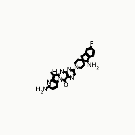 CC1CN(C(=O)c2ncc(N3CCC4(CC3)Cc3cc(F)ccc3C4N)nc2N)c2ccc(N)nc21